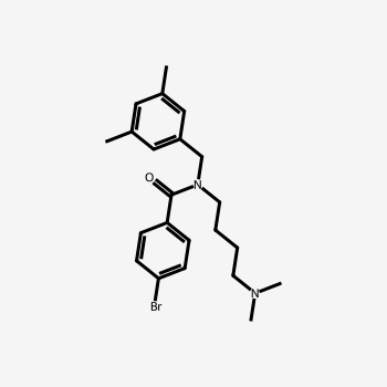 Cc1cc(C)cc(CN(CCCCN(C)C)C(=O)c2ccc(Br)cc2)c1